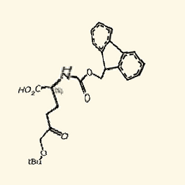 CC(C)(C)OCC(=O)CC[C@H](NC(=O)OCC1c2ccccc2-c2ccccc21)C(=O)O